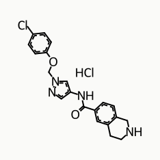 Cl.O=C(Nc1cnn(COc2ccc(Cl)cc2)c1)c1ccc2c(c1)CCNC2